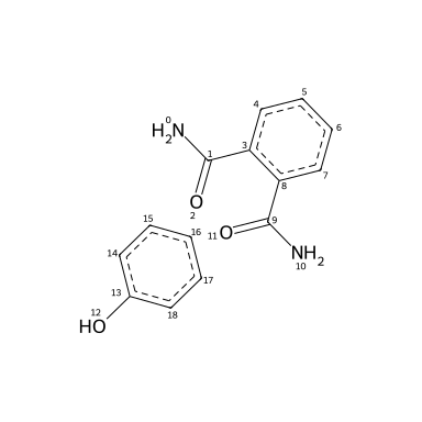 NC(=O)c1ccccc1C(N)=O.Oc1ccccc1